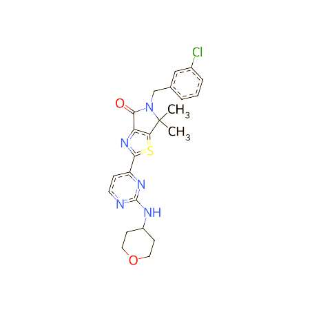 CC1(C)c2sc(-c3ccnc(NC4CCOCC4)n3)nc2C(=O)N1Cc1cccc(Cl)c1